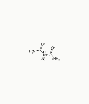 NC(=O)NC(N)=O.[N]